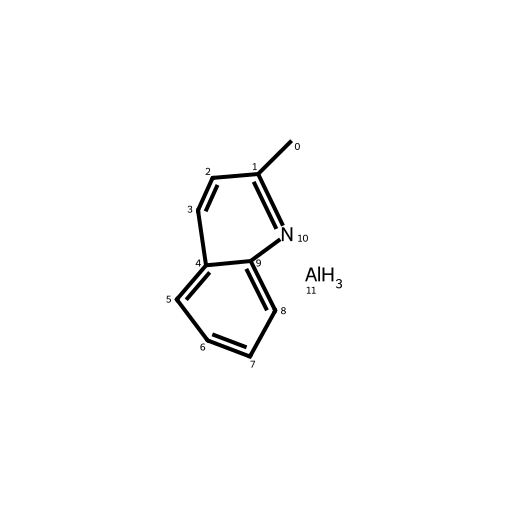 Cc1ccc2ccccc2n1.[AlH3]